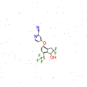 N#Cc1cc(Oc2ccc(SC(F)(F)F)c3c2CC(F)(F)C3O)ccn1